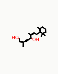 CC(C#CC(O)C(C)=CCC1=C(C)CCCC1(C)C)=CCO